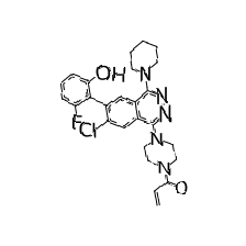 C=CC(=O)N1CCN(c2nnc(N3CCCCC3)c3cc(-c4c(O)cccc4F)c(Cl)cc23)CC1